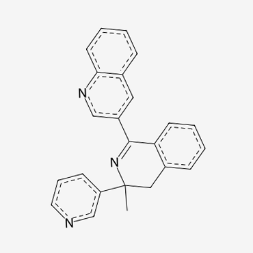 CC1(c2cccnc2)Cc2ccccc2C(c2cnc3ccccc3c2)=N1